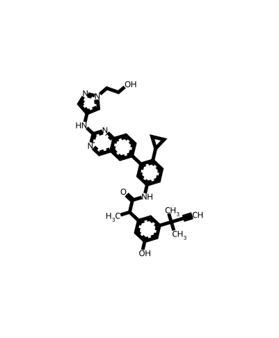 C#CC(C)(C)c1cc(O)cc(C(C)C(=O)Nc2ccc(C3CC3)c(-c3ccc4nc(Nc5cnn(CCO)c5)ncc4c3)c2)c1